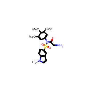 COc1cc(N(C(=O)CN)S(=O)(=O)c2ccc3c(ccn3C)c2)cc(OC)c1OC